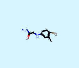 Cc1cc(NCC(N)=O)ccc1Br